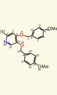 CCc1cc(OCc2ccc(OC)cc2)c(OCc2ccc(OC)cc2)cn1